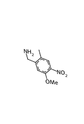 COc1cc(CN)c(C)cc1[N+](=O)[O-]